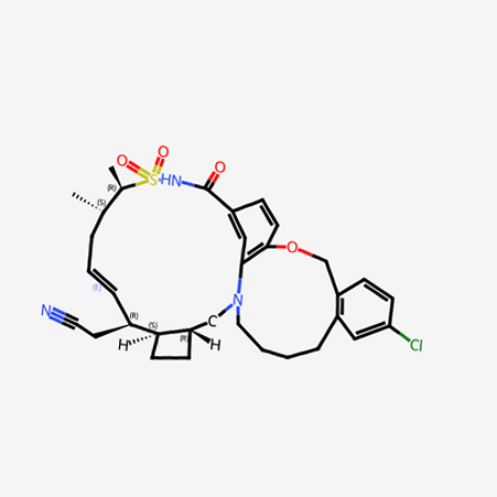 C[C@@H]1[C@@H](C)C/C=C/[C@H](CC#N)[C@@H]2CC[C@H]2CN2CCCCc3cc(Cl)ccc3COc3ccc(cc32)C(=O)NS1(=O)=O